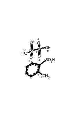 Cc1ccccc1S(=O)(=O)O.O=S(=O)(O)S(=O)(=O)O